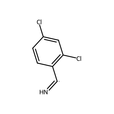 N=[C]c1ccc(Cl)cc1Cl